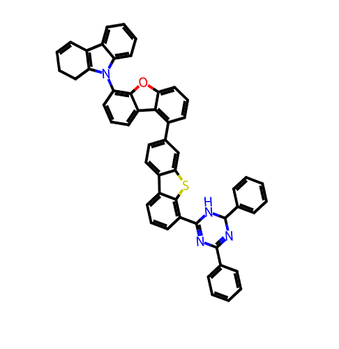 C1=Cc2c(n(-c3cccc4c3oc3cccc(-c5ccc6c(c5)sc5c(C7=NC(c8ccccc8)=NC(c8ccccc8)N7)cccc56)c34)c3ccccc23)CC1